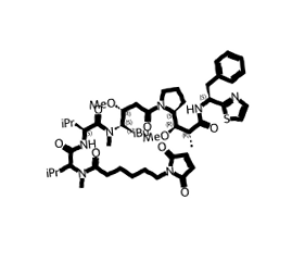 CC[C@H](C)[C@@H]([C@@H](CC(=O)N1CCC[C@H]1[C@H](OC)[C@@H](C)C(=O)N[C@@H](Cc1ccccc1)c1nccs1)OC)N(C)C(=O)[C@@H](NC(=O)C(C(C)C)N(C)C(=O)CCCCCN1C(=O)C=CC1=O)C(C)C